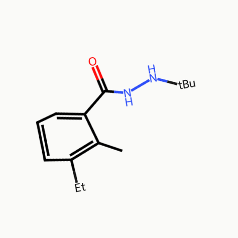 CCc1cccc(C(=O)NNC(C)(C)C)c1C